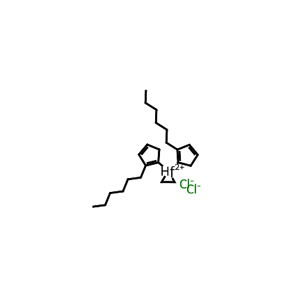 CCCCCCC1=[C]([Hf+2]2([C]3=C(CCCCCC)C=CC3)[CH2][CH2]2)CC=C1.[Cl-].[Cl-]